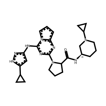 O=C(N[C@@H]1CCCN(C2CC2)C1)C1CCCN1c1nc(Nc2cc(C3CC3)[nH]n2)n2cccc2n1